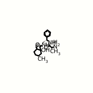 CC1CCC(C(C)C)C(O)(C(=O)NC[C@@H](NC(=O)[C@@H](C)N)c2ccccc2)C1